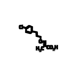 C/C(=N\OC/C=C/c1ccc(Cl)cc1)C(=O)O